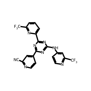 N#Cc1cc(-c2nc(Nc3ccnc(C(F)(F)F)c3)nc(-c3cccc(C(F)(F)F)n3)n2)ccn1